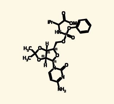 COC(=O)C(NP(=O)(OC[C@H]1O[C@@H](n2ccc(N)nc2=O)[C@@H]2OC(C)(C)O[C@@H]21)Oc1ccccc1)C(C)C